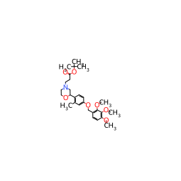 COc1ccc(COc2ccc(C3CN(CCC(=O)OC(C)(C)C)CCO3)c(C)c2)c(OC)c1OC